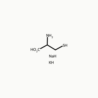 NC(CS)C(=O)O.[KH].[NaH]